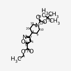 CCOC(=O)c1cc(C2CCN(C(=O)OC(C)(C)C)CC2)no1